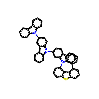 c1ccc(-c2cccc3sc4cccc(-n5c6ccccc6c6ccc(-n7c8ccccc8c8cc(-n9c%10ccccc%10c%10ccccc%109)ccc87)cc65)c4c23)cc1